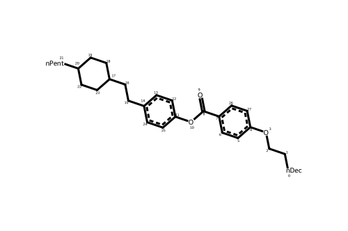 CCCCCCCCCCCCOc1ccc(C(=O)Oc2ccc(CCC3CCC(CCCCC)CC3)cc2)cc1